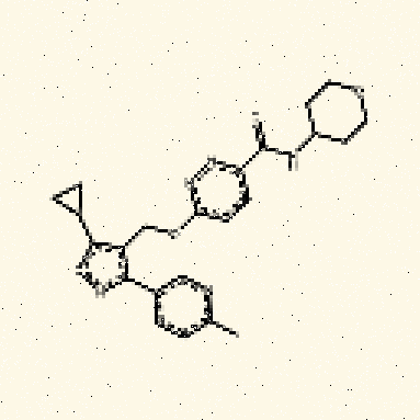 Cc1ccc(-c2noc(C3CC3)c2COc2ccc(C(=O)NC3CCOCC3)nn2)cn1